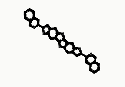 c1ccc2cc(-c3cc4cc5sc6c7cc8sc(-c9cc%10ccccc%10cn9)cc8cc7sc6c5cc4s3)ncc2c1